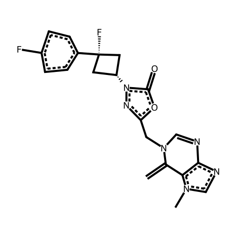 C=C1c2c(ncn2C)N=CN1Cc1nn([C@H]2C[C@](F)(c3ccc(F)cc3)C2)c(=O)o1